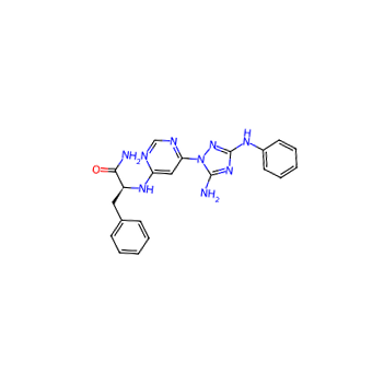 NC(=O)[C@H](Cc1ccccc1)Nc1cc(-n2nc(Nc3ccccc3)nc2N)ncn1